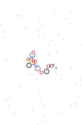 O=C(c1ccccc1S(=O)(=O)N1CCOCC1)N1CCC(Oc2cccc(OC(F)(F)F)c2)CC1